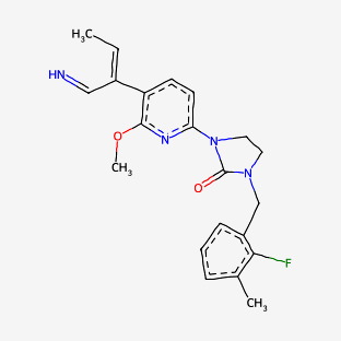 C/C=C(\C=N)c1ccc(N2CCN(Cc3cccc(C)c3F)C2=O)nc1OC